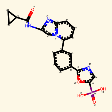 O=C(Nc1cn2c(-c3cccc(-c4ncc(P(=O)(O)O)o4)c3)cccc2n1)C1CC1